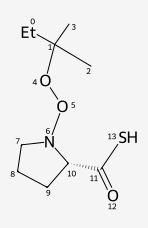 CCC(C)(C)OON1CCC[C@H]1C(=O)S